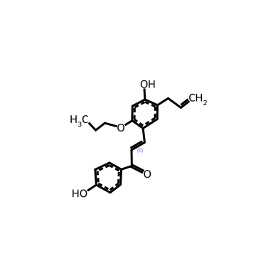 C=CCc1cc(/C=C/C(=O)c2ccc(O)cc2)c(OCCC)cc1O